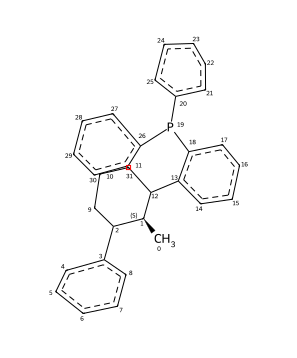 C[C@H]1C(c2ccccc2)CCCC1c1ccccc1P(c1ccccc1)c1ccccc1